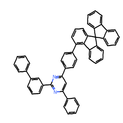 c1ccc(-c2cccc(-c3nc(-c4ccccc4)cc(-c4ccc(-c5cccc6c5-c5ccccc5C65c6ccccc6-c6ccccc65)cc4)n3)c2)cc1